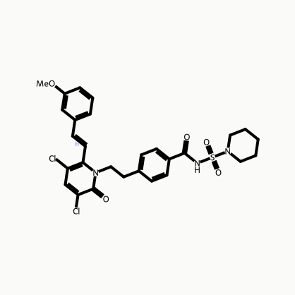 COc1cccc(/C=C/c2c(Cl)cc(Cl)c(=O)n2CCc2ccc(C(=O)NS(=O)(=O)N3CCCCC3)cc2)c1